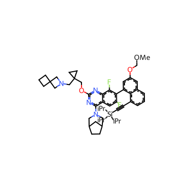 COCOc1cc(-c2c(F)cc3c(N4CC5CCC(C5)C4)nc(OCC4(CN5CC6(CCC6)C5)CC4)nc3c2F)c2c(C#C[Si](C(C)C)(C(C)C)C(C)C)cccc2c1